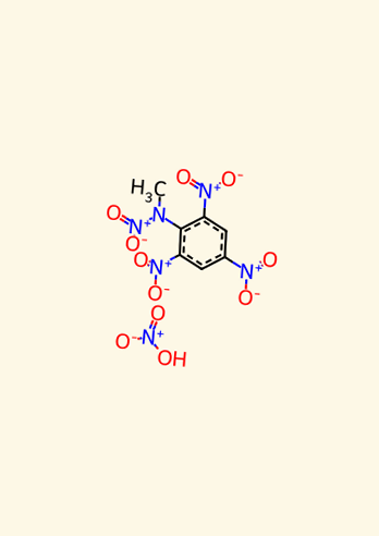 CN(c1c([N+](=O)[O-])cc([N+](=O)[O-])cc1[N+](=O)[O-])[N+](=O)[O-].O=[N+]([O-])O